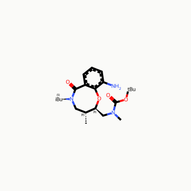 CC[C@H](C)N1C[C@@H](C)[C@H](CN(C)C(=O)OC(C)(C)C)Oc2c(N)cccc2C1=O